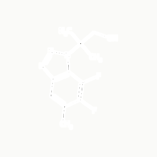 Cc1cc2nnn(C(C)(C)CO)c2c(F)c1F